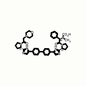 CN(C(=O)O)[C@@H](C(=O)N1CCC[C@H]1c1ncc(-c2ccc(-c3ccc(-c4cnc([C@@H]5CCCN5C(=O)CN5CCOCC5)[nH]4)cc3)cc2)[nH]1)c1ccccc1